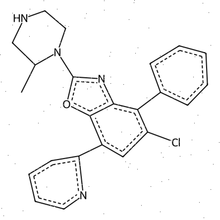 CC1CNCCN1c1nc2c(-c3ccccc3)c(Cl)cc(-c3ccccn3)c2o1